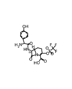 NC(C(=O)N[C@@H]1C(=O)N2C(C(=O)O)=C(OS(=O)(=O)C(F)(F)F)CC[C@@H]12)c1ccc(O)cc1